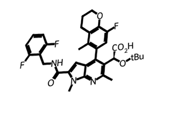 Cc1nc2c(cc(C(=O)NCc3c(F)cccc3F)n2C)c(-c2cc(F)c3c(c2C)CCCO3)c1[C@H](OC(C)(C)C)C(=O)O